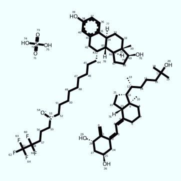 C=C1/C(=C\C=C2/CCC[C@]3(C)[C@@H]([C@H](C)CCCC(C)(C)O)CC[C@@H]23)C[C@@H](O)C[C@@H]1O.C[C@]12CC[C@@H]3c4ccc(O)cc4C[C@@H](CCCCCCCCC[S+]([O-])CCCC(F)(F)C(F)(F)F)[C@H]3[C@@H]1CC[C@@H]2O.O=S(=O)(O)O